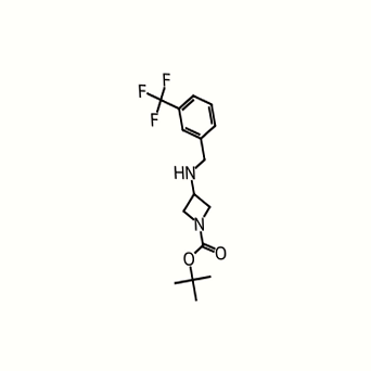 CC(C)(C)OC(=O)N1CC(NCc2cccc(C(F)(F)F)c2)C1